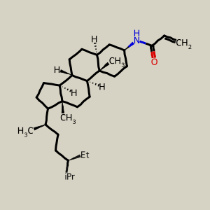 C=CC(=O)N[C@H]1CC[C@@]2(C)[C@@H](CC[C@@H]3[C@@H]2CC[C@]2(C)C([C@H](C)CC[C@@H](CC)C(C)C)CC[C@@H]32)C1